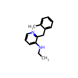 CCNc1cccnc1Cc1ccccc1C